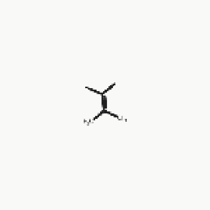 CC(F)=C(C(F)(F)F)C(F)(F)F